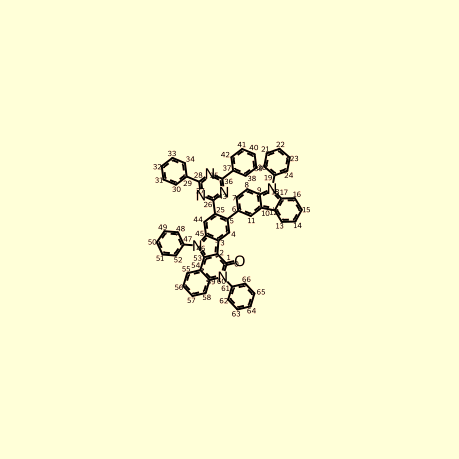 O=c1c2c3cc(-c4ccc5c(c4)c4ccccc4n5-c4ccccc4)c(-c4nc(-c5ccccc5)nc(-c5ccccc5)n4)cc3n(-c3ccccc3)c2c2ccccc2n1-c1ccccc1